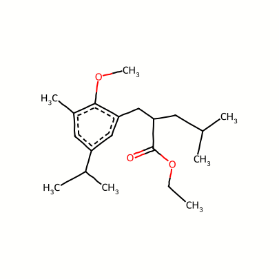 CCOC(=O)C(Cc1cc(C(C)C)cc(C)c1OC)CC(C)C